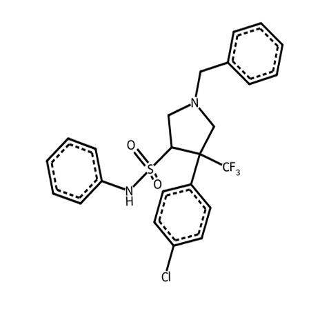 O=S(=O)(Nc1ccccc1)C1CN(Cc2ccccc2)CC1(c1ccc(Cl)cc1)C(F)(F)F